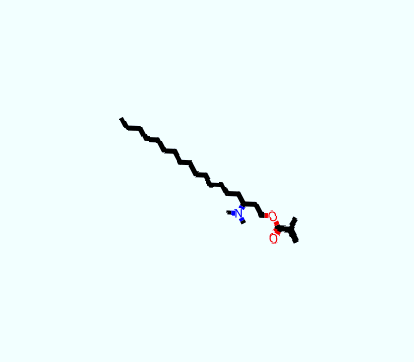 C=C(C)C(=O)OCCC(CCCCCCCCCCCCCCC)N(C)C